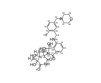 BC1(O)C(=O)NC(=O)C(B)(N2C(=O)c3cccc(NCc4cc(CN5CCOCC5)ccc4F)c3C2(O)O)C1(B)O